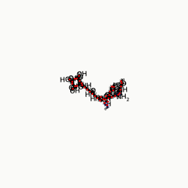 C=C(/C=C\C=C/C)[C@H](C(=O)N[C@H](CCCN/C(N)=N\C(=O)NCCNC(=O)CC)C(=O)NCc1ccc(O)cc1)c1ccc(NCCCNC(=O)CCCCCNC(=O)CN2CCN(CC(=O)O)CCN(CC(=O)O)CCN(CC(=O)O)CC2)cc1